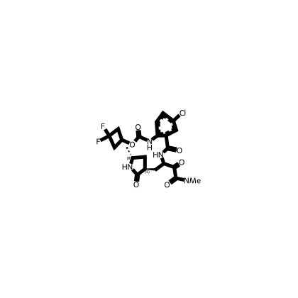 CNC(=O)C(=O)C(C[C@@H]1C[C@@H](C)NC1=O)NC(=O)c1cc(Cl)ccc1NC(=O)OC1CC(F)(F)C1